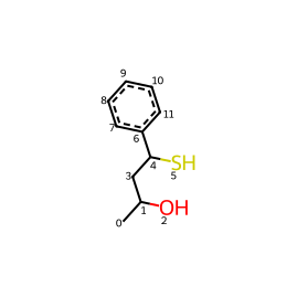 CC(O)CC(S)c1ccccc1